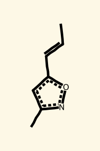 C/C=C/c1cc(C)no1